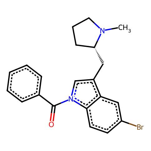 CN1CCC[C@H]1Cc1cn(C(=O)c2ccccc2)c2ccc(Br)cc12